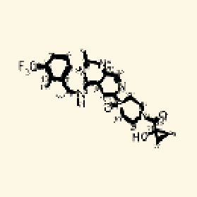 Cc1nc(N[C@H](C)c2cccc(C(F)(F)F)c2C)c2cc(P3(=O)CCN(C(=O)C4(O)CC4)CC3)ncc2n1